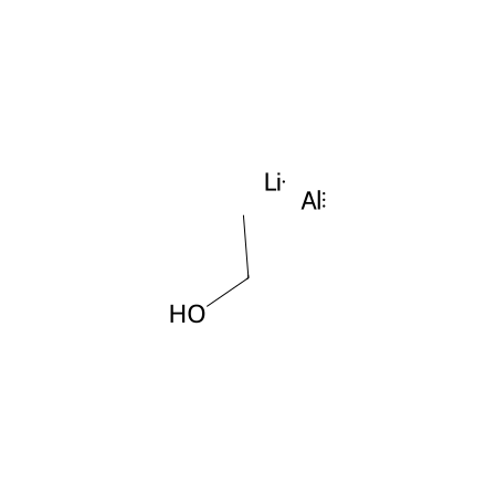 CCO.[Al].[Li]